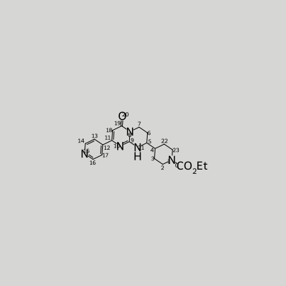 CCOC(=O)N1CCC(C2CCn3c(nc(-c4ccncc4)cc3=O)N2)CC1